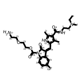 CCN(C)CCNC(=O)c1c(C)[nH]c(/C=C2\C(=O)N(C(=O)OCCOCCN)c3ccc(F)cc32)c1C